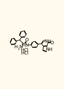 Cl.Cl.NC(C(=O)Nc1ccc(-c2c[nH]c(=O)c3[nH]ccc23)cc1)C(c1ccccc1)c1ccccc1